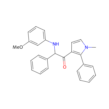 COc1cccc(NC(C(=O)c2ccn(C)c2-c2ccccc2)c2ccccc2)c1